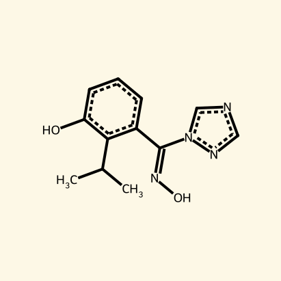 CC(C)c1c(O)cccc1C(=NO)n1cncn1